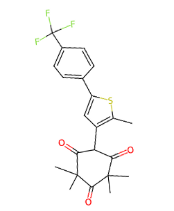 Cc1sc(-c2ccc(C(F)(F)F)cc2)cc1C1C(=O)C(C)(C)C(=O)C(C)(C)C1=O